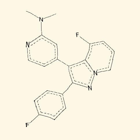 CN(C)c1cc(-c2c(-c3ccc(F)cc3)nn3cccc(F)c23)ccn1